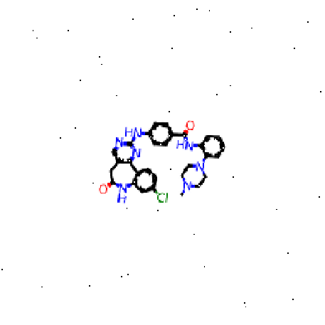 CN1CCN(c2ccccc2NC(=O)c2ccc(Nc3ncc4c(n3)-c3ccc(Cl)cc3NC(=O)C4)cc2)CC1